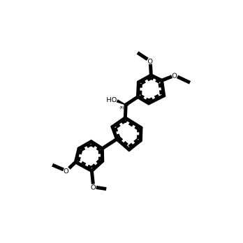 COc1ccc(-c2cccc([C@@H](O)c3ccc(OC)c(OC)c3)c2)cc1OC